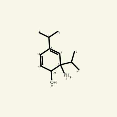 CC(C)C1=CC(P)(C(C)C)C(O)C=C1